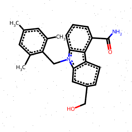 Cc1cc(C)c(Cn2c3cc(CO)c[c]c3c3c(C(N)=O)cccc32)c(C)c1